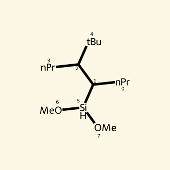 CCCC(C(CCC)C(C)(C)C)[SiH](OC)OC